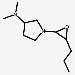 CCCC1OC1N1CCC(N(C)C)C1